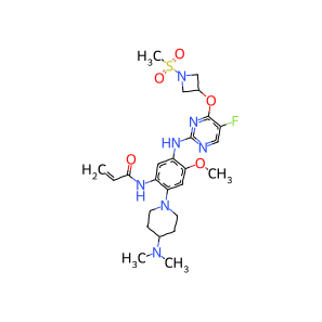 C=CC(=O)Nc1cc(Nc2ncc(F)c(OC3CN(S(C)(=O)=O)C3)n2)c(OC)cc1N1CCC(N(C)C)CC1